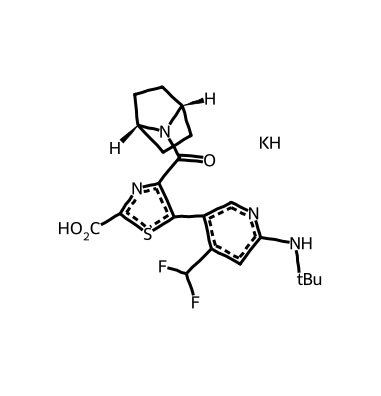 CC(C)(C)Nc1cc(C(F)F)c(-c2sc(C(=O)O)nc2C(=O)N2[C@H]3CC[C@@H]2CC3)cn1.[KH]